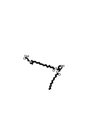 CCCCCCCCCCCC(=O)OCC1(COC(=O)CCCCCCCCCCCC2CCN(CCC(=O)O)C2)CCNCC1